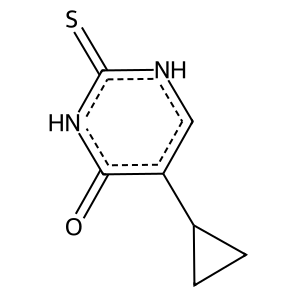 O=c1[nH]c(=S)[nH]cc1C1CC1